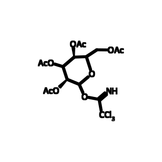 CC(=O)OCC1OC(OC(=N)C(Cl)(Cl)Cl)[C@@H](OC(C)=O)C(OC(C)=O)[C@H]1OC(C)=O